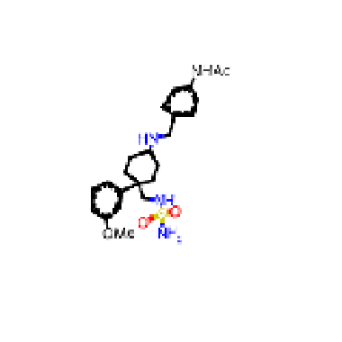 COc1cccc([C@]2(CNS(N)(=O)=O)CC[C@H](NCc3ccc(NC(C)=O)cc3)CC2)c1